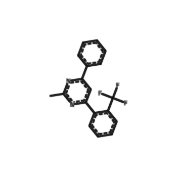 Cc1nc(-c2ccccc2)cc(-c2ccccc2C(F)(F)F)n1